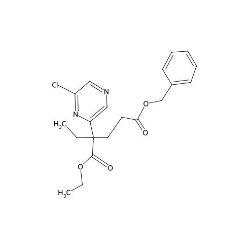 CCOC(=O)C(CC)(CCC(=O)OCc1ccccc1)c1cncc(Cl)n1